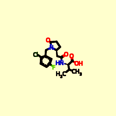 CC(C)[C@H](NC(=O)C[C@@H]1CCC(=O)N1Cc1cc(F)ccc1Cl)C(=O)O